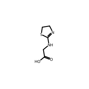 O=C(O)CNC1=NCCS1